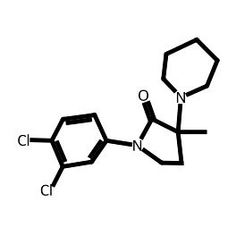 CC1(N2CCCCC2)CCN(c2ccc(Cl)c(Cl)c2)C1=O